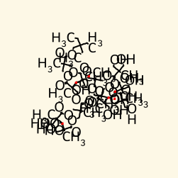 CCC(CC)(CC)COC(=O)C(C)(COC(=O)C(C)(CO)COC(=O)C(C)(COC(=O)C(C)(CO)CO)COC(=O)C(C)(CO)CO)COC(=O)C(C)(COC(=O)C(C)(COC(=O)C(C)(CO)CO)COC(=O)C(C)(CO)CO)COC(=O)C(C)(COC(=O)C(C)(CO)CO)COC(=O)C(C)(CO)CO